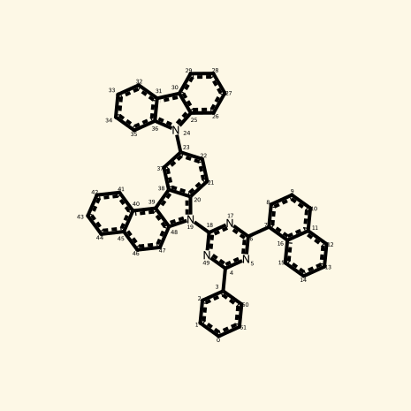 c1ccc(-c2nc(-c3cccc4ccccc34)nc(-n3c4ccc(-n5c6ccccc6c6ccccc65)cc4c4c5ccccc5ccc43)n2)cc1